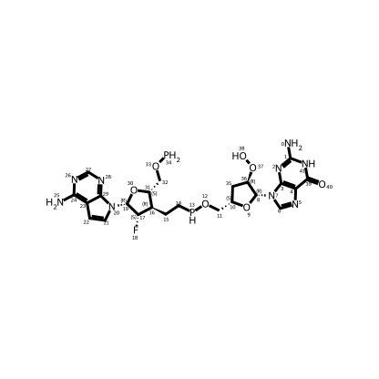 Nc1nc2c(ncn2[C@@H]2O[C@H](COPCC[C@H]3[C@H](F)[C@H](n4ccc5c(N)ncnc54)O[C@@H]3COP)C[C@H]2OO)c(=O)[nH]1